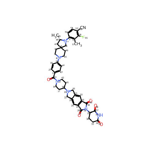 Cc1c(N2CC3(CCN(c4ccc(C(=O)N5CCC(N6Cc7cc8c(cc7C6)C(=O)N(C6CCC(=O)NC6=O)C8=O)CC5)cc4)CC3)C[C@@H]2C)ccc(C#N)c1F